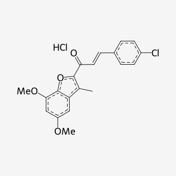 COc1cc(OC)c2oc(C(=O)C=Cc3ccc(Cl)cc3)c(C)c2c1.Cl